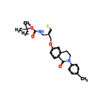 Cc1ccc(N2CCc3cc(OC/C(=C/F)CNC(=O)OC(C)(C)C)ccc3C2=O)cc1